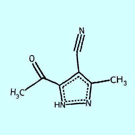 CC(=O)c1[nH]nc(C)c1C#N